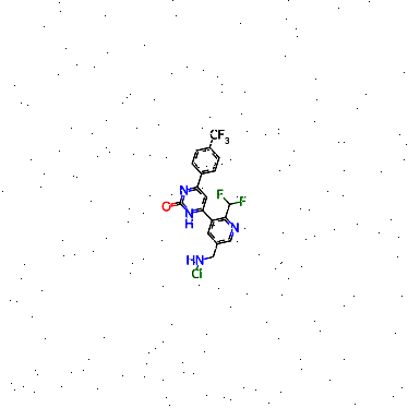 O=c1nc(-c2ccc(C(F)(F)F)cc2)cc(-c2cc(CNCl)cnc2C(F)F)[nH]1